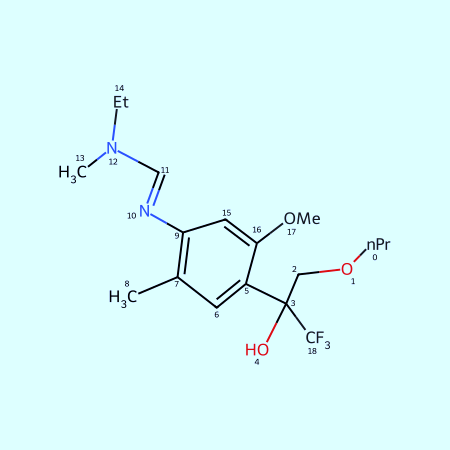 CCCOCC(O)(c1cc(C)c(/N=C/N(C)CC)cc1OC)C(F)(F)F